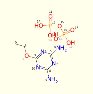 CCOc1nc(N)nc(N)n1.O=P(O)(O)OP(=O)(O)O